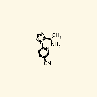 C[C@H](N)c1ncnn1-c1ccc(C#N)cn1